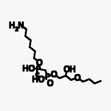 CCCCOCC(O)COP(=O)(O)CP(O)(=S)OCCCCCCN